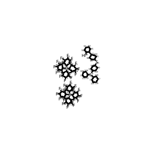 Fc1c(F)c(F)c([B-](c2c(F)c(F)c(F)c(F)c2F)(c2c(F)c(F)c(F)c(F)c2F)c2c(F)c(F)c(F)c(F)c2F)c(F)c1F.Fc1c(F)c(F)c([B-](c2c(F)c(F)c(F)c(F)c2F)(c2c(F)c(F)c(F)c(F)c2F)c2c(F)c(F)c(F)c(F)c2F)c(F)c1F.[IH+]c1ccccc1-c1ccc(Sc2ccc([S+](c3ccccc3)c3ccccc3)cc2)cc1